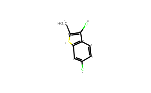 O=C(O)c1sc2cc(Cl)ccc2c1Cl